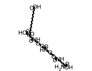 N[C@@H](CCCCNC(=O)COCCOCCNC(=O)COCCOCCNC(=O)CCN(CC(=O)O)C(=O)CCCCCCCCCCCCCCC(=O)O)C(=O)O